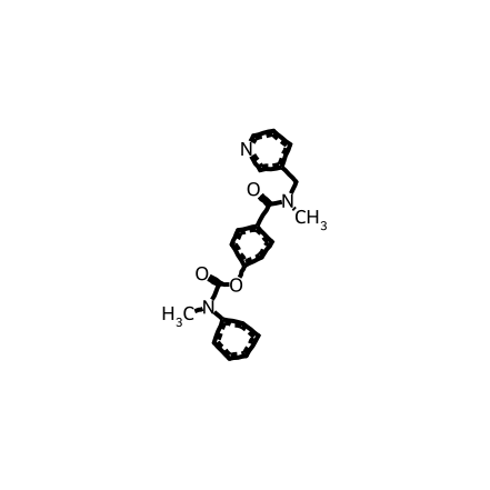 CN(Cc1cccnc1)C(=O)c1ccc(OC(=O)N(C)c2ccccc2)cc1